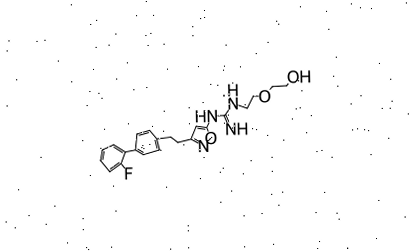 N=C(NCCOCCO)Nc1cc(CCc2ccc(-c3ccccc3F)cc2)no1